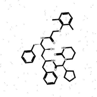 Cc1cccc(C)c1OCC(=O)N[C@@H](Cc1ccccc1)[C@@H](O)C[C@H](Cc1ccccc1)NC(=O)[C@H](C1CCCC1)N1CCCNC1=O